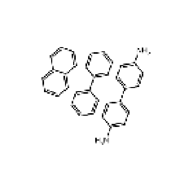 Nc1ccc(-c2ccc(N)cc2)cc1.c1ccc(-c2ccccc2)cc1.c1ccc2ccccc2c1